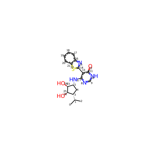 CC(C)[C@H]1C[C@@H](Nc2nc[nH]c(=O)c2-c2nc3ccccc3s2)[C@H](O)[C@@H]1O